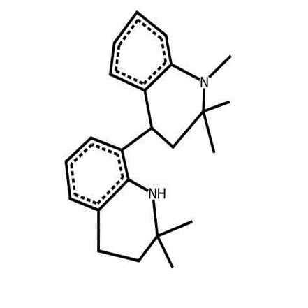 CN1c2ccccc2C(c2cccc3c2NC(C)(C)CC3)CC1(C)C